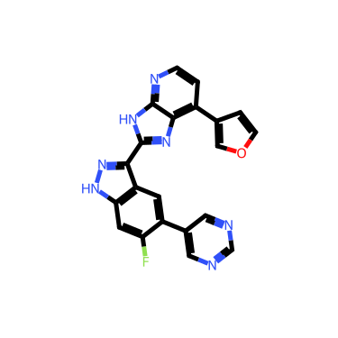 Fc1cc2[nH]nc(-c3nc4c(-c5ccoc5)ccnc4[nH]3)c2cc1-c1cncnc1